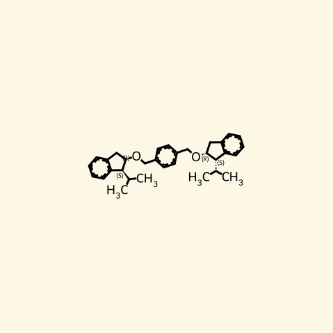 CC(C)[C@H]1c2ccccc2C[C@H]1OCc1ccc(CO[C@@H]2Cc3ccccc3[C@@H]2C(C)C)cc1